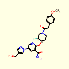 NC(=O)c1cc(-n2cc(CO)cn2)cnc1O[C@@H]1CCN(C(=O)Cc2ccc(OC(F)(F)F)cc2)C[C@@H]1F